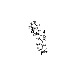 CN(C)c1ncc(-c2cccc(C(F)(F)F)c2)cc1N(C=O)Cc1ccccn1